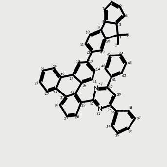 CC1(C)c2ccccc2-c2ccc(-c3ccc4c(c3)c3ccccc3c3cccc(-c5nc(-c6ccccc6)cc(-c6ccccc6)n5)c34)cc21